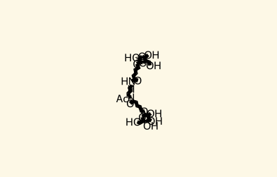 CC(=O)C(CCCCNC(=O)CCCCOC1OC(CO)C(O)O[C@H]1O)NC(=O)CCCCO[C@@H]1OC(CO)C(O)C(O)C1O